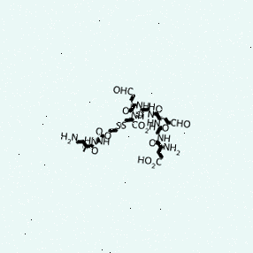 C[C@@H](CCN)C(=O)NNC(=O)OCCSSC[C@H](NC(=O)[C@H](CCC=O)NC(=O)CNC(=O)[C@H](CCC=O)NC(=O)CNC(=O)[C@@H](N)CCC(=O)O)C(=O)O